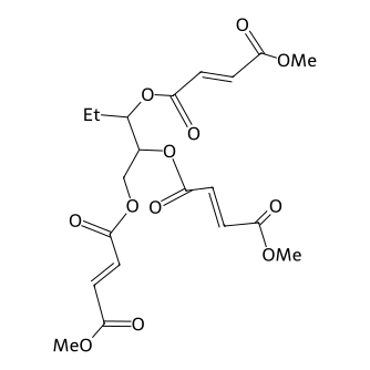 CCC(OC(=O)/C=C/C(=O)OC)C(COC(=O)/C=C/C(=O)OC)OC(=O)/C=C/C(=O)OC